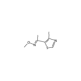 CO/N=C(\C)c1scnc1C